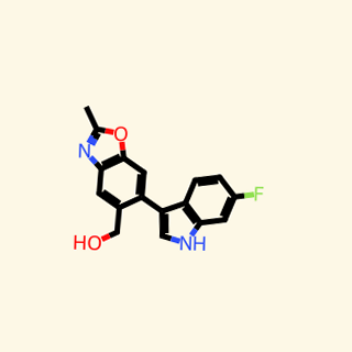 Cc1nc2cc(CO)c(-c3c[nH]c4cc(F)ccc34)cc2o1